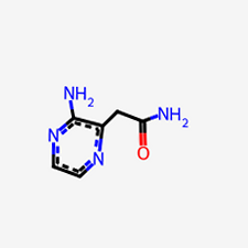 NC(=O)Cc1nccnc1N